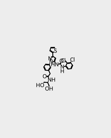 O=C(Cc1cccc(-n2nc(-c3cccs3)cc2NC(=O)Nc2cccc(Cl)c2Cl)c1)NC(CO)CO